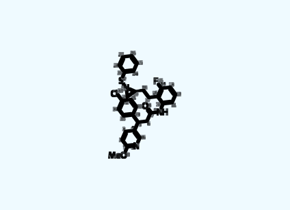 COc1ccc(C(CC(=O)Nc2cccc(F)c2CC[C@H]2CN2Sc2ccccc2)c2ccc(Cl)cc2)cn1